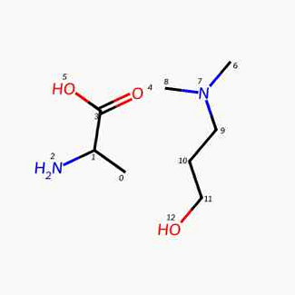 CC(N)C(=O)O.CN(C)CCCO